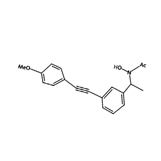 COc1ccc(C#Cc2cccc(C(C)N(O)C(C)=O)c2)cc1